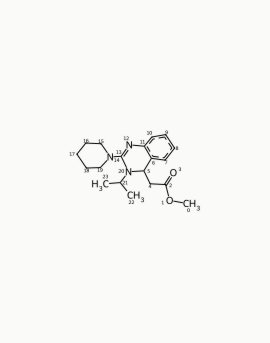 COC(=O)CC1c2ccccc2N=C(N2CCCCC2)N1C(C)C